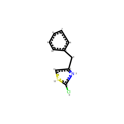 Clc1nc(Cc2ccccc2)cs1